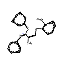 COc1ccccc1OC=C(C)/C(=N\c1ccccc1)Sc1ccccc1